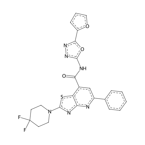 O=C(Nc1nnc(-c2ccco2)o1)c1cc(-c2ccccc2)nc2nc(N3CCC(F)(F)CC3)sc12